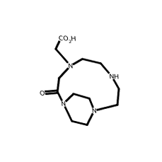 O=C(O)CN1CCNCCN2CCN(CC2)C(=O)C1